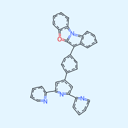 c1ccc(-c2cc(-c3ccc(-c4c5ccccc5n5c4oc4ccccc45)cc3)cc(-c3ccccn3)n2)nc1